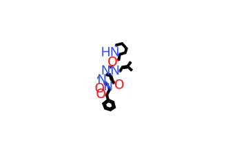 CC(C)=CCn1c(OCC2CCCCN2)nc2c1c(=O)n(CC(=O)c1ccccc1)c(=O)n2C